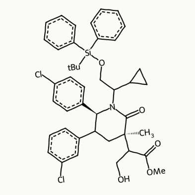 COC(=O)C(CO)[C@@]1(C)CC(c2cccc(Cl)c2)[C@@H](c2ccc(Cl)cc2)N(C(CO[Si](c2ccccc2)(c2ccccc2)C(C)(C)C)C2CC2)C1=O